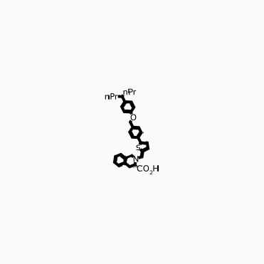 CCCC(CCC)c1ccc(OCc2ccc(-c3ccc(CN4Cc5ccccc5C[C@H]4C(=O)O)s3)cc2)cc1